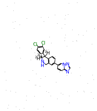 [2H]C1([2H])NCc2cc(-c3ccc4ncnn4c3)ccc2C1([2H])c1ccc(Cl)c(Cl)c1